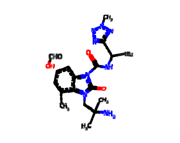 Cc1cccc2c1n(CC(C)(C)N)c(=O)n2C(=O)NC(c1nnn(C)n1)C(C)(C)C.O=CO